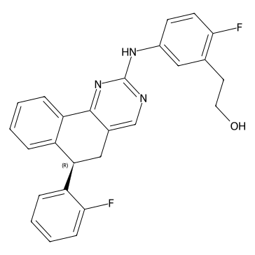 OCCc1cc(Nc2ncc3c(n2)-c2ccccc2[C@H](c2ccccc2F)C3)ccc1F